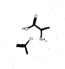 C=C(C)Cl.CC(N)C(=O)O